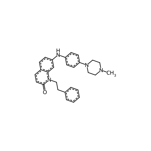 CN1CCN(c2ccc(Nc3ccc4ccc(=O)n(CCc5ccccc5)c4c3)cc2)CC1